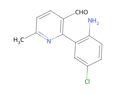 Cc1ccc(C=O)c(-c2cc(Cl)ccc2N)n1